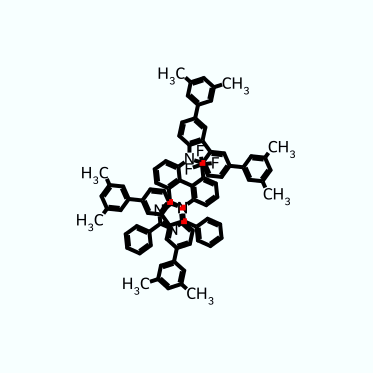 Cc1cc(C)cc(-c2ccc3c(c2)c2cc(-c4cc(C)cc(C)c4)ccc2n3-c2cccc(-c3nc(-c4ccccc4)nc(-c4ccccc4)n3)c2-c2c(-n3c4ccc(-c5cc(C)cc(C)c5)cc4c4cc(-c5cc(C)cc(C)c5)ccc43)cccc2C(F)(F)F)c1